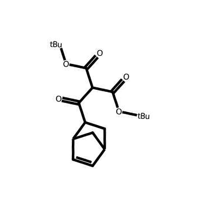 CC(C)(C)OC(=O)C(C(=O)OC(C)(C)C)C(=O)C1CC2C=CC1C2